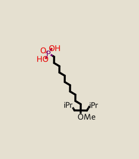 COC(CCCCCCCCCCCP(=O)(O)O)(CC(C)C)CC(C)C